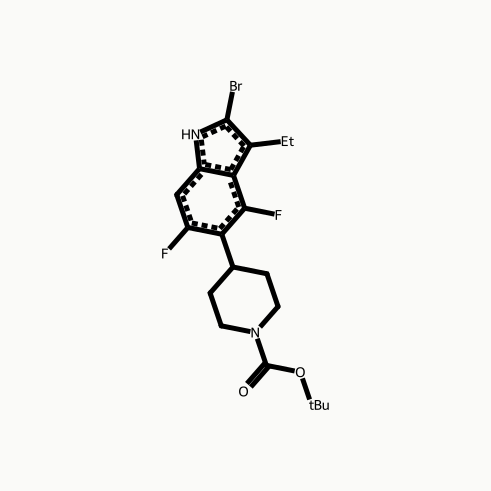 CCc1c(Br)[nH]c2cc(F)c(C3CCN(C(=O)OC(C)(C)C)CC3)c(F)c12